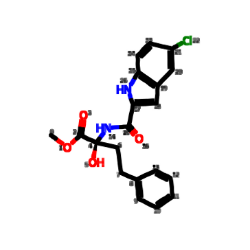 COC(=O)[C@@](O)(CCc1ccccc1)NC(=O)c1cc2cc(Cl)ccc2[nH]1